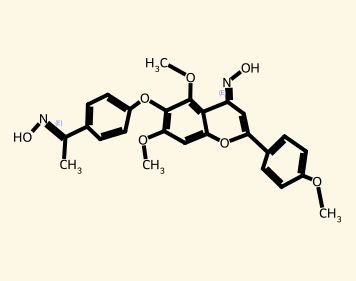 COc1ccc(-c2c/c(=N\O)c3c(OC)c(Oc4ccc(/C(C)=N/O)cc4)c(OC)cc3o2)cc1